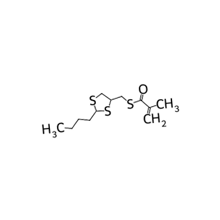 C=C(C)C(=O)SCC1CSC(CCCC)S1